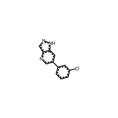 Clc1cccc(-c2cnc3cn[nH]c3c2)c1